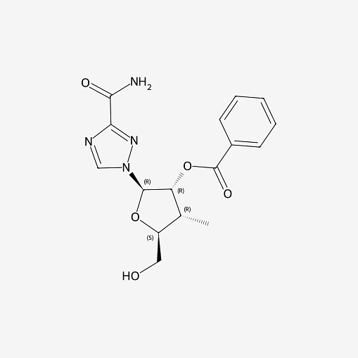 C[C@H]1[C@@H](OC(=O)c2ccccc2)[C@H](n2cnc(C(N)=O)n2)O[C@@H]1CO